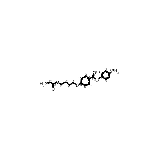 Bc1ccc(OC(=O)c2ccc(OCCCCOC(=O)C=C)cc2)cc1